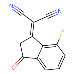 N#CC(C#N)=C1CC(=O)c2cccc(F)c21